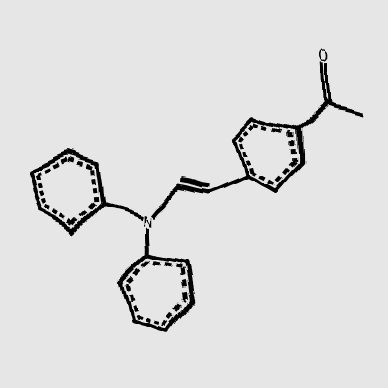 CC(=O)c1ccc(C=CN(c2ccccc2)c2ccccc2)cc1